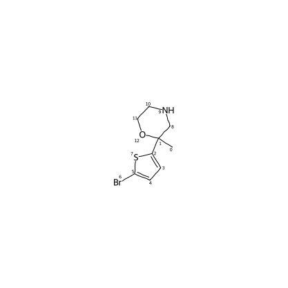 CC1(c2ccc(Br)s2)CNCCO1